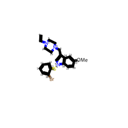 C=CN1CCN(Cc2cn(Sc3ccccc3Br)c3ccc(OC)cc23)CC1